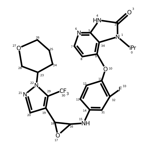 CC(C)n1c(=O)[nH]c2nccc(Oc3ccc(NC4OC4c4cnn(C5CCCOC5)c4C(F)(F)F)cc3F)c21